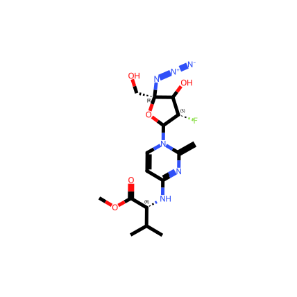 C=C1N=C(N[C@@H](C(=O)OC)C(C)C)C=CN1C1O[C@@](CO)(N=[N+]=[N-])C(O)[C@@H]1F